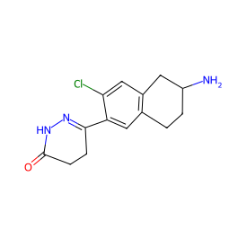 NC1CCc2cc(C3=NNC(=O)CC3)c(Cl)cc2C1